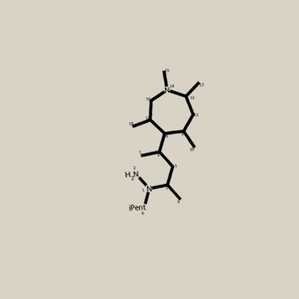 CCCC(C)N(N)C(C)CC(C)C1C(C)CC(C)N(C)CC1C